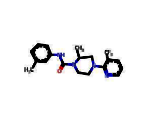 Cc1cccc(NC(=O)N2CCN(c3ncccc3C(F)(F)F)CC2C)c1